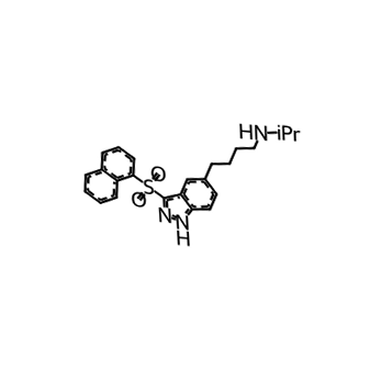 CC(C)NCCCCc1ccc2[nH]nc(S(=O)(=O)c3cccc4ccccc34)c2c1